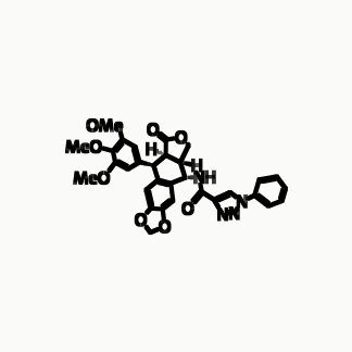 COc1cc([C@@H]2c3cc4c(cc3[C@@H](NC(=O)c3cn(-c5ccccc5)nn3)[C@H]3COC(=O)[C@H]23)OCO4)cc(OC)c1OC